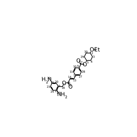 CCOC1CCC(OC(=O)c2ccc(/C=C/C(=O)OCc3cc(N)ccc3N)cc2)CC1